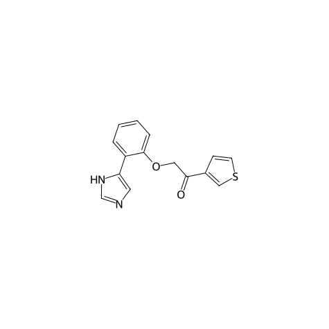 O=C(COc1ccccc1-c1cnc[nH]1)c1ccsc1